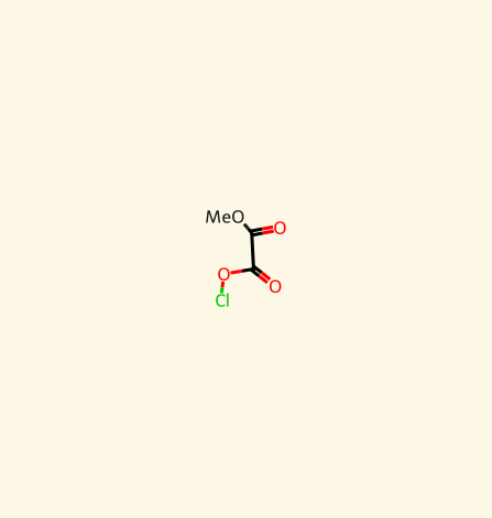 COC(=O)C(=O)OCl